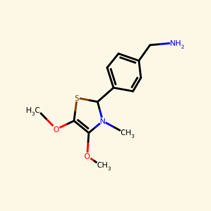 COC1=C(OC)N(C)C(c2ccc(CN)cc2)S1